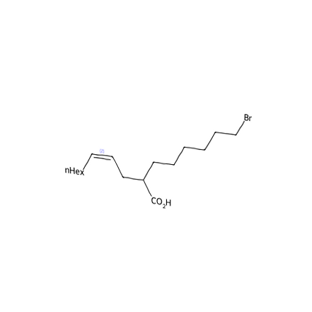 CCCCCC/C=C\CC(CCCCCCBr)C(=O)O